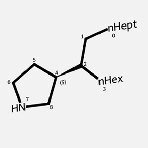 CCCCCCCCC(CCCCCC)[C@@H]1CCNC1